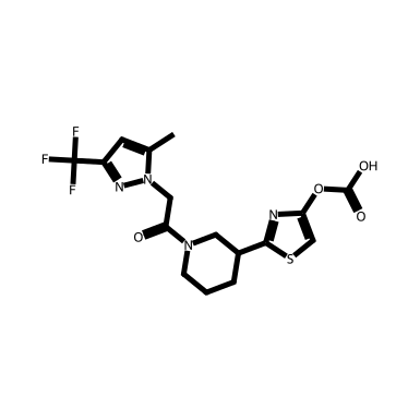 Cc1cc(C(F)(F)F)nn1CC(=O)N1CCCC(c2nc(OC(=O)O)cs2)C1